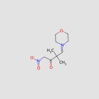 CC(C)(C=[N+]1CCOCC1)C(=O)C[N+](=O)[O-]